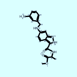 COC(=O)C(C)NC(=O)c1[nH]nc2cc(NCc3cccc(N)c3)ccc12